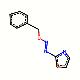 c1ccc(CON=Nc2nccs2)cc1